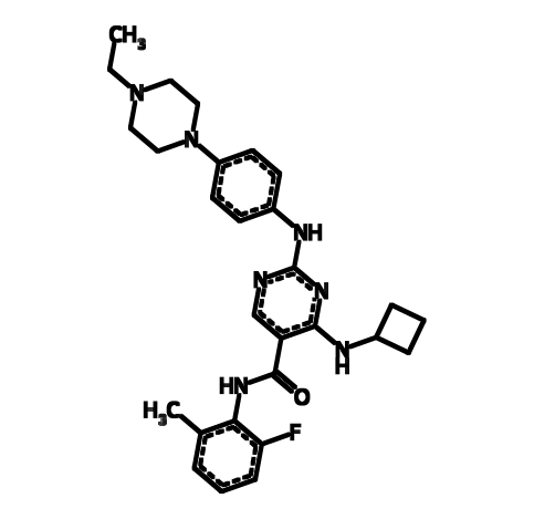 CCN1CCN(c2ccc(Nc3ncc(C(=O)Nc4c(C)cccc4F)c(NC4CCC4)n3)cc2)CC1